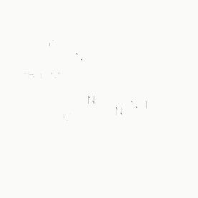 CC(C1CCCCN1C(=O)OC(C)(C)C)N(C(=O)c1ccccc1)c1cc(-c2ccccc2)[nH]n1